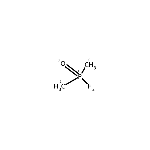 CP(C)(=O)F